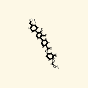 C=Cc1ccc(-c2ccc(-c3ccc(C(=O)Oc4ccc(OCC)c(F)c4)cc3)c(F)c2F)cc1